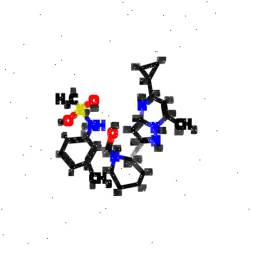 Cc1cccc(NS(C)(=O)=O)c1C(=O)N1CCCC[C@H]1c1cc2nc(C3CC3)cc(C)n2n1